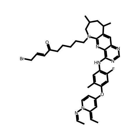 C/C=N\N1C=CC(Oc2cc(F)c(Nc3ncnc4cc5c(nc34)N(CCCCCC(=O)/C=C/CBr)CC(C)CC5C)cc2C)=C/C1=C\C